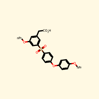 CCCOc1ccc(Oc2ccc(S(=O)(=O)c3cc(CC(=O)O)cc(OCCC)c3)cc2)cc1